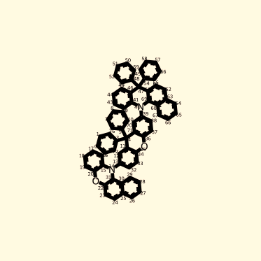 c1ccc(C2(c3ccccc3)c3cc(N4c5ccccc5Oc5ccc6ccccc6c54)ccc3Oc3ccc(N4c5ccccc5C(c5ccccc5)(c5ccccc5)c5ccc6ccccc6c54)cc32)cc1